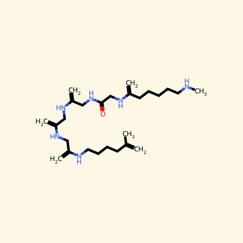 C=C(C)CCCCNC(=C)CNC(=C)CNC(=C)CNC(=O)CNC(=C)CCCCCNC